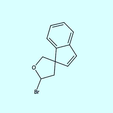 BrC1CC2(C=Cc3ccccc32)CO1